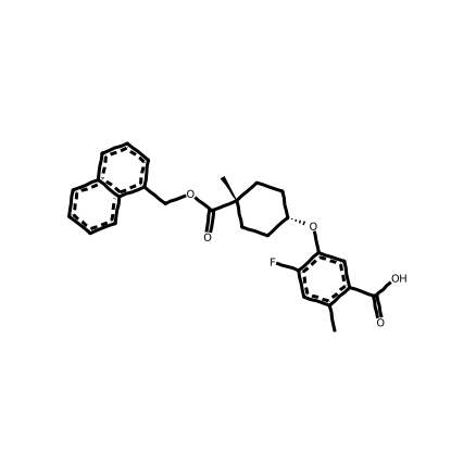 Cc1cc(F)c(O[C@H]2CC[C@@](C)(C(=O)OCc3cccc4ccccc34)CC2)cc1C(=O)O